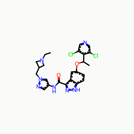 CCN1CC(Cn2cc(NC(=O)c3n[nH]c4ccc(OC(C)c5c(Cl)cncc5Cl)cc34)cn2)C1